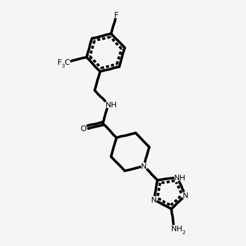 Nc1n[nH]c(N2CCC(C(=O)NCc3ccc(F)cc3C(F)(F)F)CC2)n1